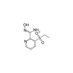 CCS(=O)(=O)c1cccnc1/C(N)=N/O